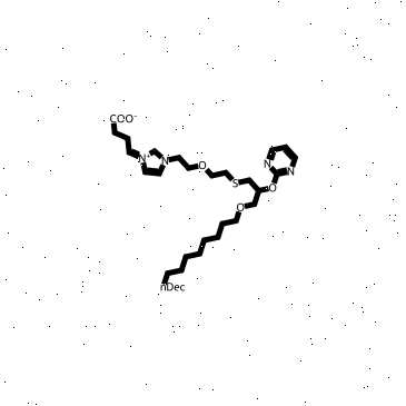 CCCCCCCCCCCCCCCCCCOCC(CSCCOCCN1C=C[N+](=CCCC(=O)[O-])C1)Oc1ncccn1